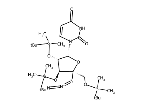 CC(C)(C)[Si](C)(C)OC[C@@]1(N=[N+]=[N-])O[C@@H](n2ccc(=O)[nH]c2=O)[C@@H](O[Si](C)(C)C(C)(C)C)[C@@H]1O[Si](C)(C)C(C)(C)C